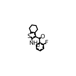 Nc1sc2c(c1C(=O)c1ccccc1F)CCCC2